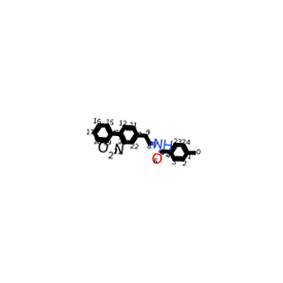 Cc1ccc(C(=O)NCCc2ccc(-c3ccccc3)c([N+](=O)[O-])c2)cc1